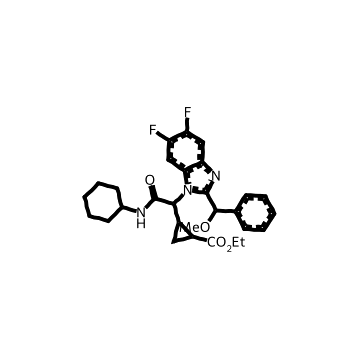 CCOC(=O)C1CC1C(C(=O)NC1CCCCC1)n1c(C(OC)c2ccccc2)nc2cc(F)c(F)cc21